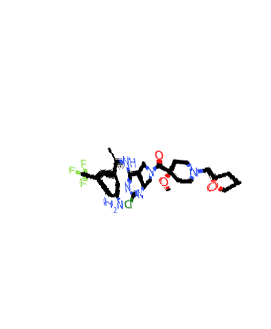 COC1(C(=O)N2Cc3nc(Cl)nc(N[C@H](C)c4cc(N)cc(C(F)(F)F)c4)c3C2)CCN(CC2CCCO2)CC1